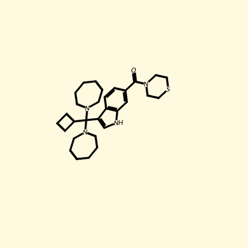 O=C(c1ccc2c(C(C3CCC3)(N3CCCCCC3)N3CCCCCC3)c[nH]c2c1)N1CCSCC1